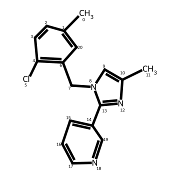 Cc1ccc(Cl)c(Cn2cc(C)nc2-c2cccnc2)c1